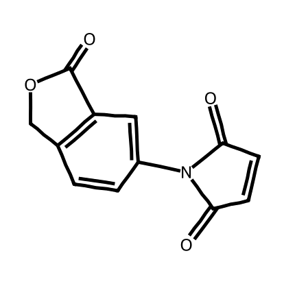 O=C1OCc2ccc(N3C(=O)C=CC3=O)cc21